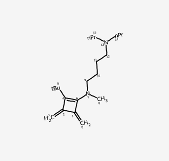 C=C1C(=C)C(C(C)(C)C)=C1N(C)CCCCN(CCC)CCC